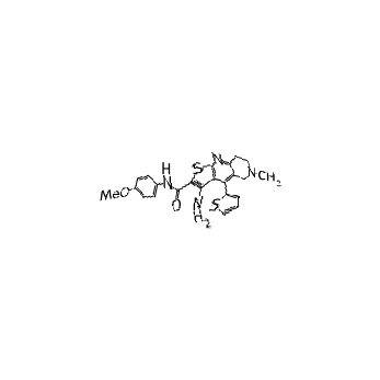 COc1ccc(NC(=O)c2sc3nc4c(c(-c5cccs5)c3c2N)CN(C)CC4)cc1